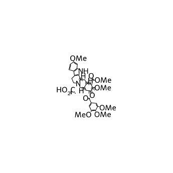 C=C.CC(=O)O.COC(=O)[C@H]1[C@H]2C[C@@H]3c4[nH]c5cc(OC)ccc5c4CCN3C[C@H]2C[C@@H](OC(=O)c2cc(OC)c(OC)c(OC)c2)[C@@H]1OC